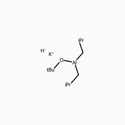 CC(C)[CH2][Al]([CH2]C(C)C)[O]C(C)(C)C.[H-].[K+]